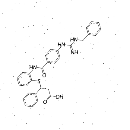 N=C(NCc1ccccc1)Nc1ccc(C(=O)Nc2ccccc2SC(CC(=O)O)c2ccccc2)cc1